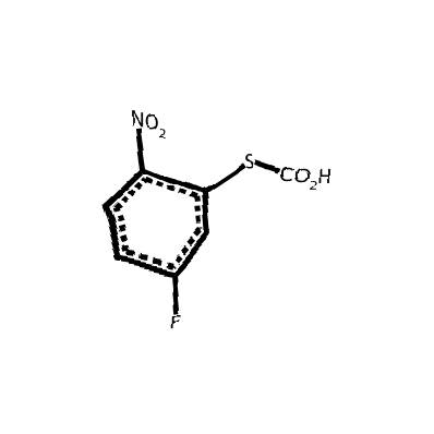 O=C(O)Sc1cc(F)ccc1[N+](=O)[O-]